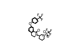 O=C1c2cc(Oc3ccc(C(F)(F)F)cc3)ccc2CCN1C1CCCN(S(=O)(=O)C(F)(F)F)C1